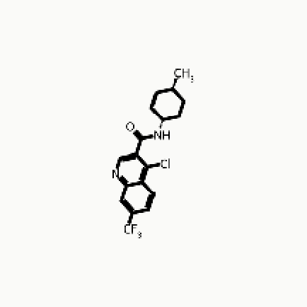 C[C@H]1CC[C@H](NC(=O)c2cnc3cc(C(F)(F)F)ccc3c2Cl)CC1